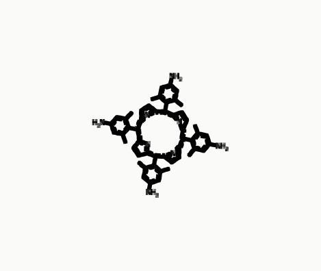 Cc1cc(N)cc(C)c1-c1c2nc(c(-c3c(C)cc(N)cc3C)c3ccc([nH]3)c(-c3c(C)cc(N)cc3C)c3nc(c(-c4c(C)cc(N)cc4C)c4ccc1[nH]4)C=C3)C=C2